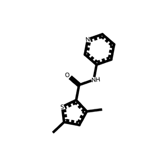 Cc1cc(C)c(C(=O)Nc2cccnc2)s1